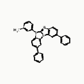 Cc1cccc(-n2c3ccc(-c4ccccc4)cc3n3c4cc(-c5ccccc5)ccc4nc23)c1